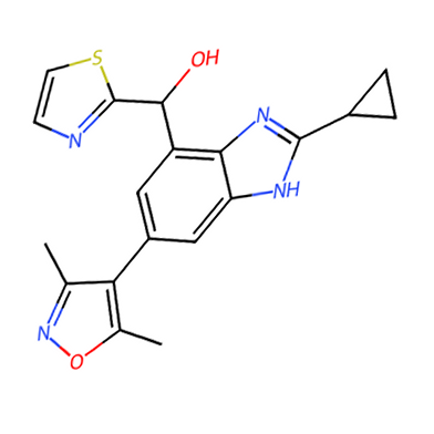 Cc1noc(C)c1-c1cc(C(O)c2nccs2)c2nc(C3CC3)[nH]c2c1